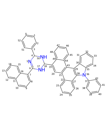 c1ccc(C2N=C(c3cccc4ccccc34)NC(c3cc4c5ccccc5c5c(c6ccccc6n5-c5ccccc5)c4c4ccccc34)N2)cc1